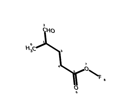 CC(C=O)CCC(=O)OF